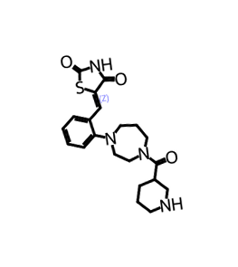 O=C1NC(=O)/C(=C/c2ccccc2N2CCCN(C(=O)C3CCCNC3)CC2)S1